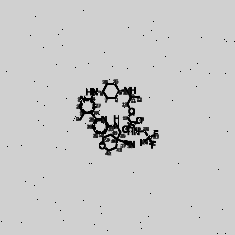 Cc1cnc(N[C@H]2CC[C@H](N[C@@H](C)COCS(=O)(=O)NCC(F)(F)F)CC2)cc1-c1cccc(NCC2(C#N)CCOCC2)n1